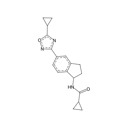 O=C(NC1CCc2cc(-c3noc(C4CC4)n3)ccc21)C1CC1